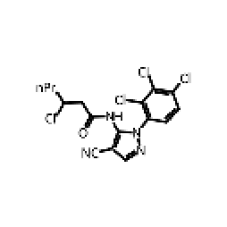 CCCC(Cl)CC(=O)Nc1c(C#N)cnn1-c1ccc(Cl)c(Cl)c1Cl